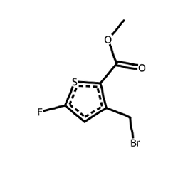 COC(=O)c1sc(F)cc1CBr